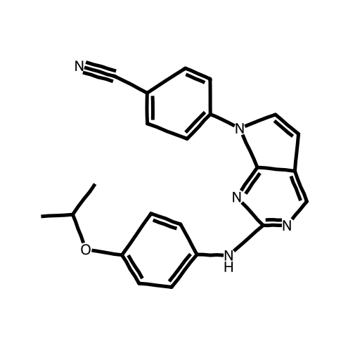 CC(C)Oc1ccc(Nc2ncc3ccn(-c4ccc(C#N)cc4)c3n2)cc1